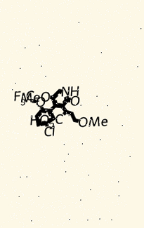 COCCC(C(=O)O)c1c(-c2cc(Cl)ccc2OCC(F)(F)F)c(OC)c[nH]c1=O